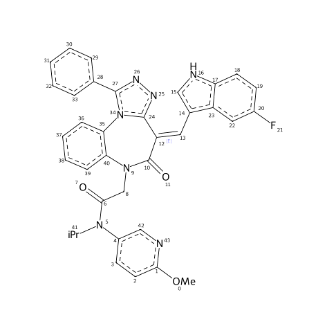 COc1ccc(N(C(=O)CN2C(=O)/C(=C/c3c[nH]c4ccc(F)cc34)c3nnc(-c4ccccc4)n3-c3ccccc32)C(C)C)cn1